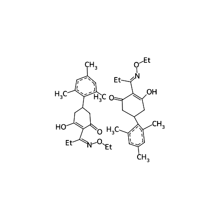 CCO/N=C(/CC)C1=C(O)CC(c2c(C)cc(C)cc2C)CC1=O.CCO/N=C(\CC)C1=C(O)CC(c2c(C)cc(C)cc2C)CC1=O